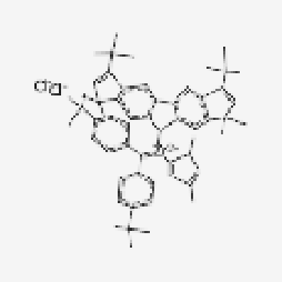 CC1=CC(C)[C]([Zr+2](=[C](c2ccc(C(C)(C)C)cc2)c2ccc(C(C)(C)C)cc2)[CH]2c3cc4c(cc3-c3cc5c(cc32)C(C)(C)C=C5C(C)(C)C)C(C(C)(C)C)=CC4(C)C)=C1.[Cl-].[Cl-]